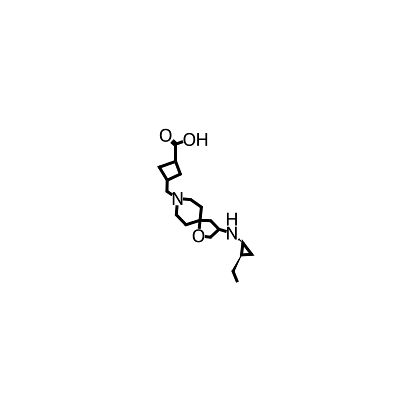 CC[C@@H]1C[C@H]1NC1COC2(CCN(CC3CC(C(=O)O)C3)CC2)C1